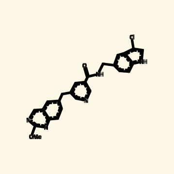 COc1ncc2cc(Cc3cncc(C(=O)NCc4ccc5[nH]cc(Cl)c5c4)c3)ccc2n1